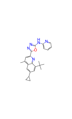 Cc1cc(-c2nnc(Nc3ccccn3)o2)nc2c(C(C)(C)C)cc(C3CC3)cc12